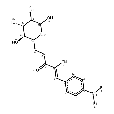 CCN(CC)c1ccc(/C=C(\C#N)C(=O)NC[C@H]2OC(O)[C@H](O)[C@@H](O)[C@@H]2O)cc1